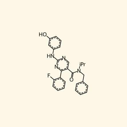 CC(C)N(Cc1ccccc1)C(=O)c1cnc(Nc2cccc(O)c2)nc1-c1ccccc1F